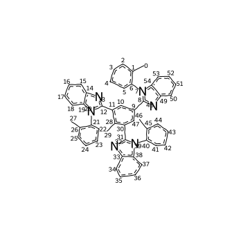 Cc1ccccc1-n1c(-c2cc(-c3nc4ccccc4n3-c3ccccc3C)c(C)c(-c3nc4ccccc4n3-c3ccccc3C)c2)nc2ccccc21